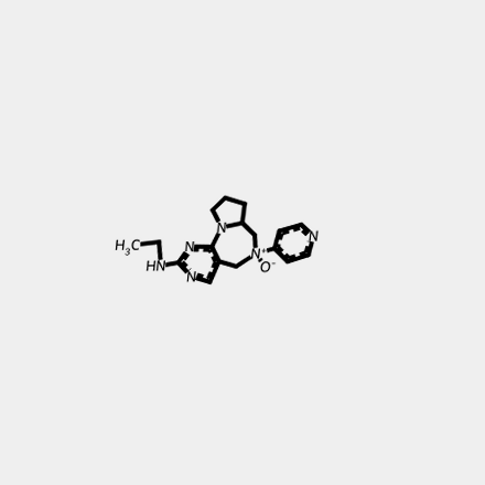 CCNc1ncc2c(n1)N1CCCC1C[N+]([O-])(c1ccncc1)C2